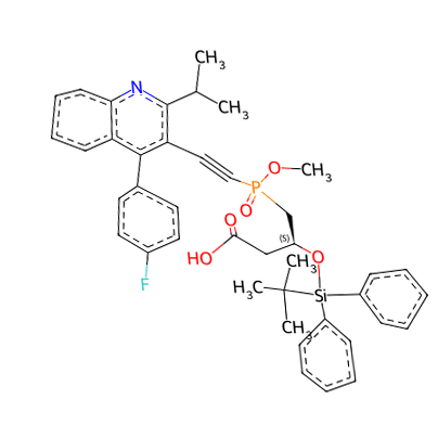 COP(=O)(C#Cc1c(C(C)C)nc2ccccc2c1-c1ccc(F)cc1)C[C@H](CC(=O)O)O[Si](c1ccccc1)(c1ccccc1)C(C)(C)C